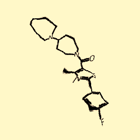 Cc1nc(-c2ccc(F)cc2)sc1C(=O)N1CCC(N2CCCCCC2)CC1